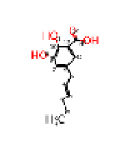 CCC/C=C/Cc1cc(O)c(O)c(C(=O)O)c1